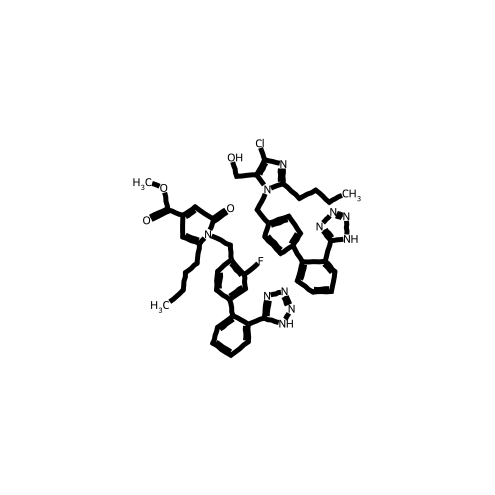 CCCCc1cc(C(=O)OC)cc(=O)n1Cc1ccc(-c2ccccc2-c2nnn[nH]2)cc1F.CCCCc1nc(Cl)c(CO)n1Cc1ccc(-c2ccccc2-c2nnn[nH]2)cc1